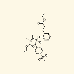 CCOC(=O)CCc1ccccc1OP(=O)(N[C@@H](C)C(=O)OCC)Oc1ccc(S(C)(=O)=O)cc1